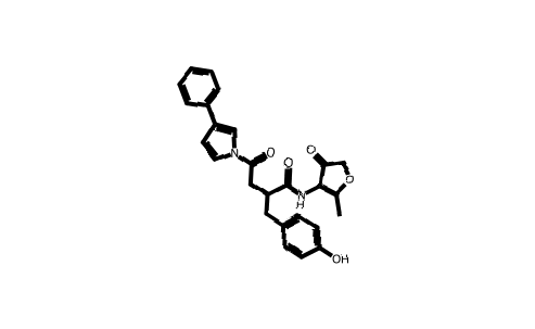 CC1OCC(=O)C1NC(=O)C(CC(=O)n1ccc(-c2ccccc2)c1)Cc1ccc(O)cc1